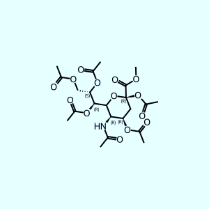 COC(=O)[C@]1(OC(C)=O)C[C@@H](OC(C)=O)[C@@H](NC(C)=O)C([C@@H](OC(C)=O)[C@H](COC(C)=O)OC(C)=O)O1